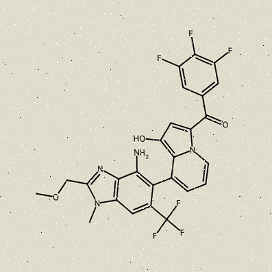 COCc1nc2c(N)c(-c3cccn4c(C(=O)c5cc(F)c(F)c(F)c5)cc(O)c34)c(C(F)(F)F)cc2n1C